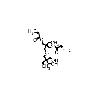 C=CC(=O)OCC(CC)(COCC(CC)(CO)CO)COC(=O)C=C